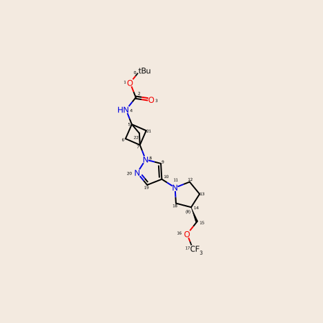 CC(C)(C)OC(=O)NC12CC(n3cc(N4CC[C@@H](COC(F)(F)F)C4)cn3)(C1)C2